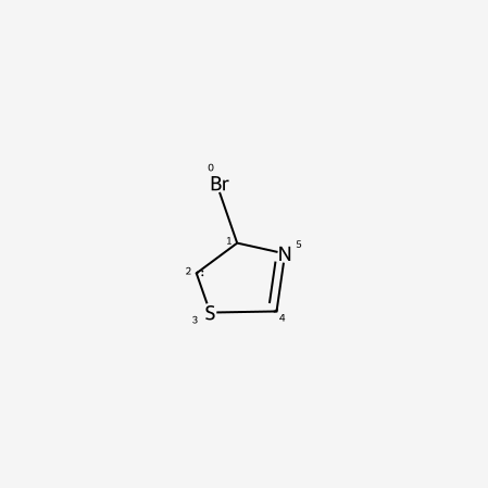 BrC1[C]SC=N1